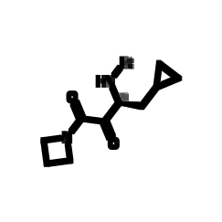 CCN[C@@H](CC1CC1)C(=O)C(=O)N1CCC1